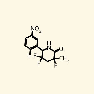 CC1(F)CC(F)(F)C(c2cc([N+](=O)[O-])ccc2F)NC1=O